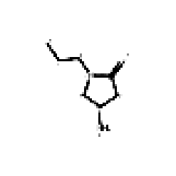 CCCN1C[C@H](N)CC1=S